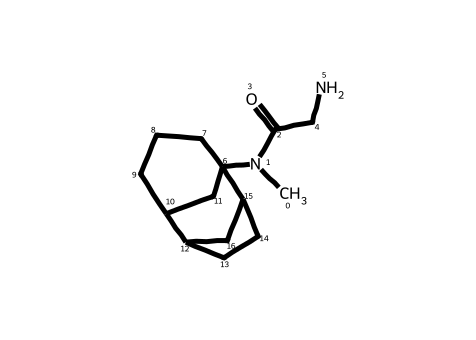 CN(C(=O)CN)C12CCCC(C1)C1CCC2C1